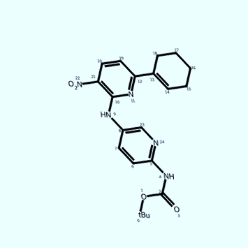 CC(C)(C)OC(=O)Nc1ccc(Nc2nc(C3=CCCCC3)ccc2[N+](=O)[O-])cn1